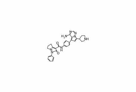 Nc1ncnn2c(C3CCNCC3)cc(-c3ccc(NC(=O)c4c5n(n(-c6ccccc6)c4=O)CCC5)cc3)c12